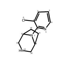 Clc1cccnc1N1C2CCC1CNC2